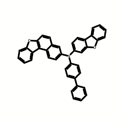 c1ccc(-c2ccc(N(c3ccc4c(ccc5oc6ccccc6c54)c3)c3ccc4c(c3)oc3ccccc34)cc2)cc1